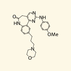 COc1ccc(Nc2ncc3c(n2)-c2cc(CCCN4CCOCC4)ccc2NC(=O)C3)cc1